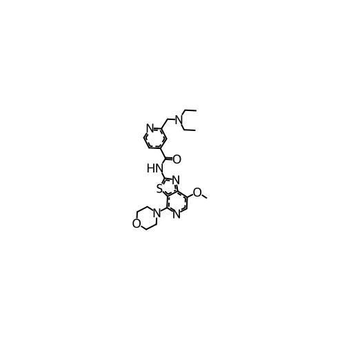 CCN(CC)Cc1cc(C(=O)Nc2nc3c(OC)cnc(N4CCOCC4)c3s2)ccn1